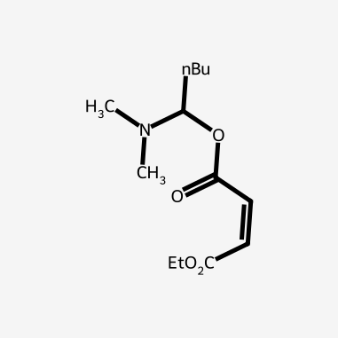 CCCCC(OC(=O)/C=C\C(=O)OCC)N(C)C